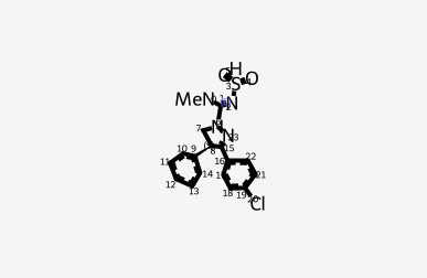 CN/C(=N\[SH](=O)=O)N1C[C@H](c2ccccc2)C(c2ccc(Cl)cc2)=N1